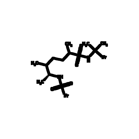 CC(CCC(C)S(=O)(=O)NC(C)(C)C(C)C)[C@@H](C)NS(=O)(=O)C(C)C